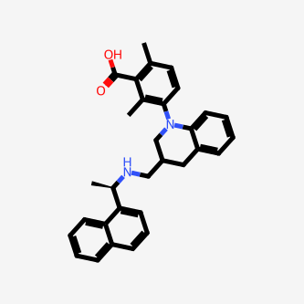 Cc1ccc(N2CC(CN[C@H](C)c3cccc4ccccc34)Cc3ccccc32)c(C)c1C(=O)O